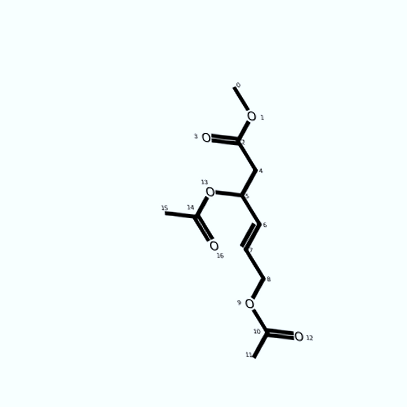 COC(=O)CC(C=CCOC(C)=O)OC(C)=O